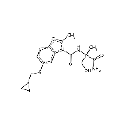 Cc1oc2ccc(SCC3CC3)cc2c1C(=O)N[C@@](C)(CO)C(N)=O